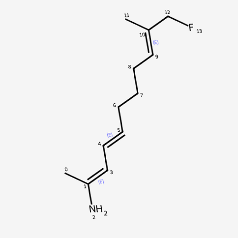 C/C(N)=C\C=C\CCC/C=C(\C)CF